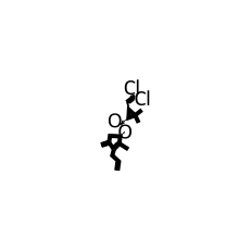 C=CCC1=C(C)[C@@H](OC(=O)[C@@H]2[C@@H](C=C(Cl)Cl)C2(C)C)CC1=C